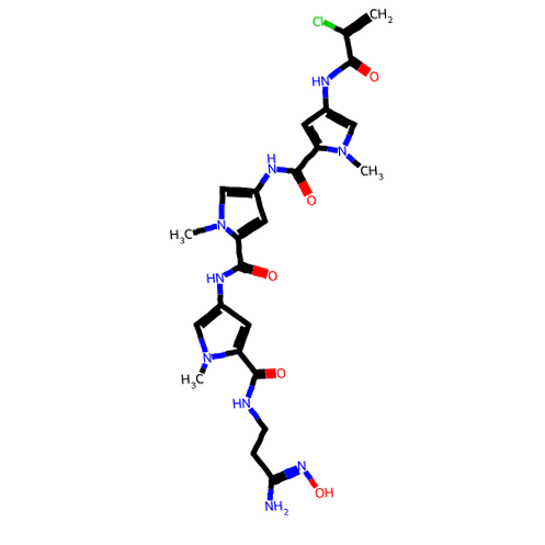 C=C(Cl)C(=O)Nc1cc(C(=O)Nc2cc(C(=O)Nc3cc(C(=O)NCCC(N)=NO)n(C)c3)n(C)c2)n(C)c1